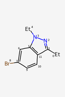 CCc1nn(CC)c2cc(Br)ccc12